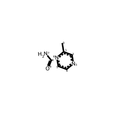 Cc1cnccn1.NC=O